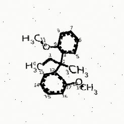 CCC(C)(c1ccccc1OC)c1ccccc1OC